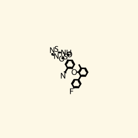 Cc1cccc(-c2ccc(F)cc2)c1Oc1ccc(S(=O)(=O)Nc2ncns2)cc1C#N